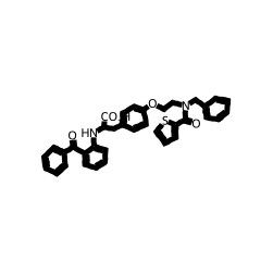 O=C(c1ccccc1)c1ccccc1NC(Cc1ccc(OCCN(Cc2ccccc2)C(=O)c2cccs2)cc1)C(=O)O